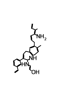 C=C/C(C)=C(N)\C=C/CC1=CC2=C(CC=C1C)NC(N/C=C/O)C(c1cccc(C=C)c1)=CC2